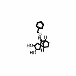 O[C@H]1CC2(C[C@@H]1O)/C(=N/OCc1ccccc1)[C@@H]1CC[C@H]2C1